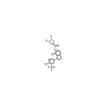 O=C(Cn1ccc2scc(-c3cnc(Cl)c(C(F)(F)F)c3)c2c1=O)N1CC(F)C(F)C1